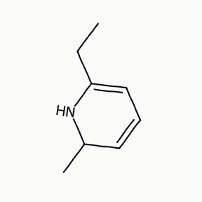 CCC1=CC=CC(C)N1